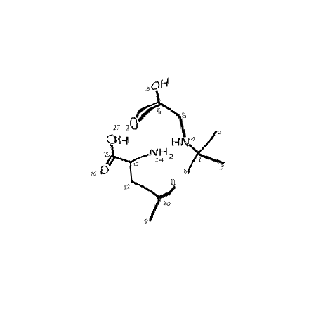 CC(C)(C)NCC(=O)O.CC(C)CC(N)C(=O)O